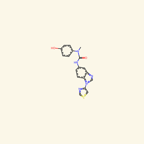 CN(C(=O)Nc1ccc2c(c1)ncn2-c1cscn1)c1ccc(O)cc1